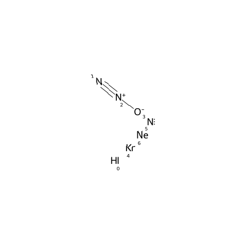 I.N#[N+][O-].[Kr].[N].[Ne]